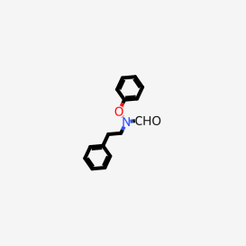 O=CN(CCc1ccccc1)Oc1ccccc1